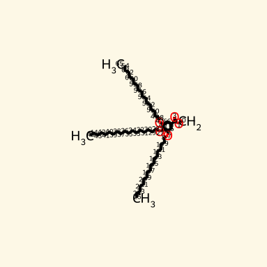 [CH2]OC(=O)c1cc(OCCCCCCCCCCCCCCCCCC)c(OCCCCCCCCCCCCCCCCCC)c(OCCCCCCCCCCCCCCCCCC)c1